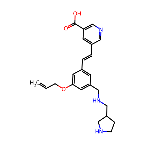 C=CCOc1cc(/C=C/c2cncc(C(=O)O)c2)cc(CNCC2CCNC2)c1